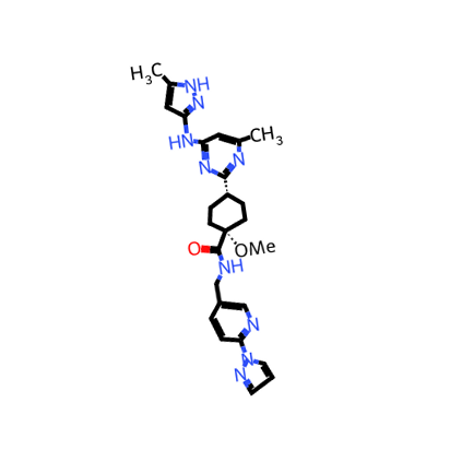 CO[C@]1(C(=O)NCc2ccc(-n3cccn3)nc2)CC[C@H](c2nc(C)cc(Nc3cc(C)[nH]n3)n2)CC1